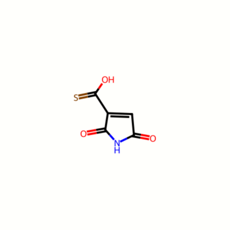 O=C1C=C(C(O)=S)C(=O)N1